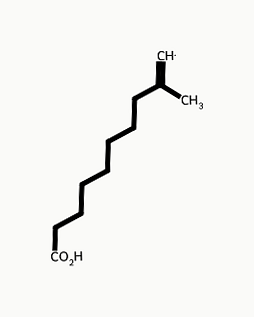 [CH]=C(C)CCCCCCCC(=O)O